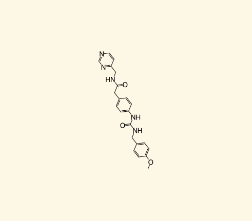 COc1ccc(CNC(=O)Nc2ccc(CC(=O)NCc3ccncn3)cc2)cc1